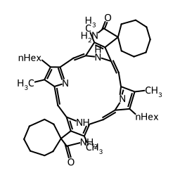 CCCCCCC1=C(C)c2cc3[nH]c(cc4nc(cc5[nH]c(cc1n2)c(C)c5C1(C(N)=O)CCCCCCC1)C(C)=C4CCCCCC)c(C)c3C1(C(N)=O)CCCCCCC1